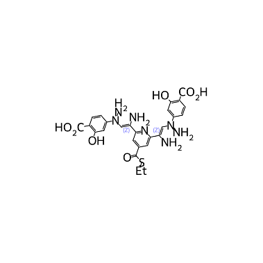 CCSC(=O)c1cc(/C(N)=C/N(N)c2ccc(C(=O)O)c(O)c2)nc(/C(N)=C/N(N)c2ccc(C(=O)O)c(O)c2)c1